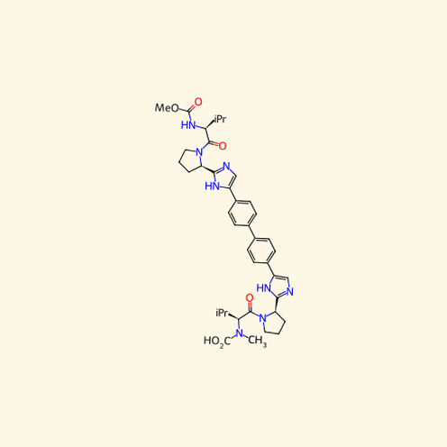 COC(=O)N[C@H](C(=O)N1CCC[C@@H]1c1ncc(-c2ccc(-c3ccc(-c4cnc([C@H]5CCCN5C(=O)[C@H](C(C)C)N(C)C(=O)O)[nH]4)cc3)cc2)[nH]1)C(C)C